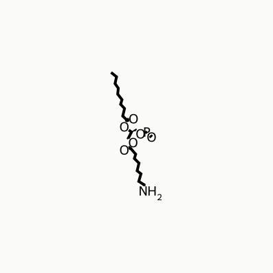 CCCCCCCCCC(=O)O[C@@H](COP=O)COC(=O)CCCCCCCN